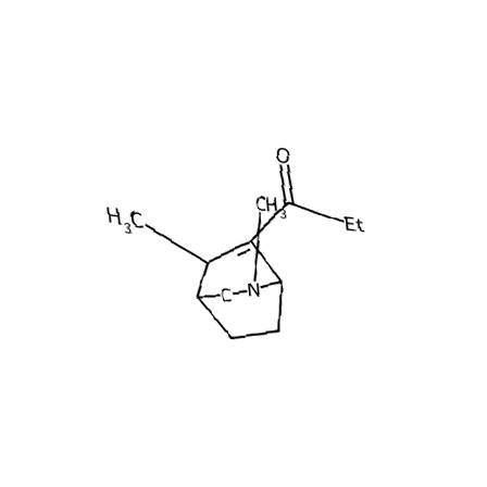 CCC(=O)C1=CC(C)C2CCC1N(C)C2